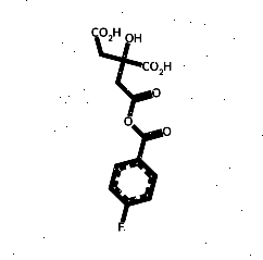 O=C(O)CC(O)(CC(=O)OC(=O)c1ccc(F)cc1)C(=O)O